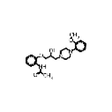 COc1ccccc1N1CCN(CC(O)COc2ccccc2NC(C)=O)CC1